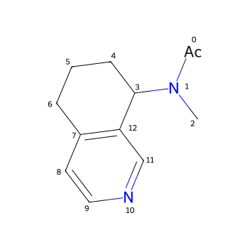 CC(=O)N(C)C1CCCc2ccncc21